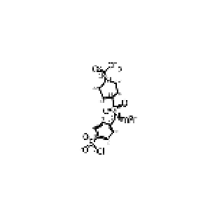 CCCN(c1ccc(S(=O)(=O)Cl)cc1)S(=O)(=O)C1CCN(C(=O)C(F)(F)F)CC1